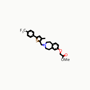 COC(=O)COc1ccc2c(c1)CCN(Cc1sc(-c3ccc(C(F)(F)F)cc3)cc1C)CC2